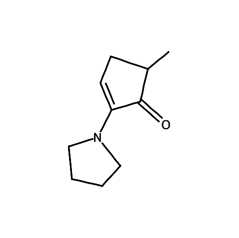 CC1CC=C(N2CCCC2)C1=O